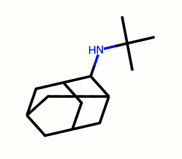 CC(C)(C)NC1C2CC3CC(C2)CC1C3